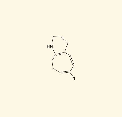 IC1=C/CCC2=C(/C=C\1)CCCN2